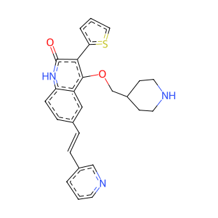 O=c1[nH]c2ccc(C=Cc3cccnc3)cc2c(OCC2CCNCC2)c1-c1cccs1